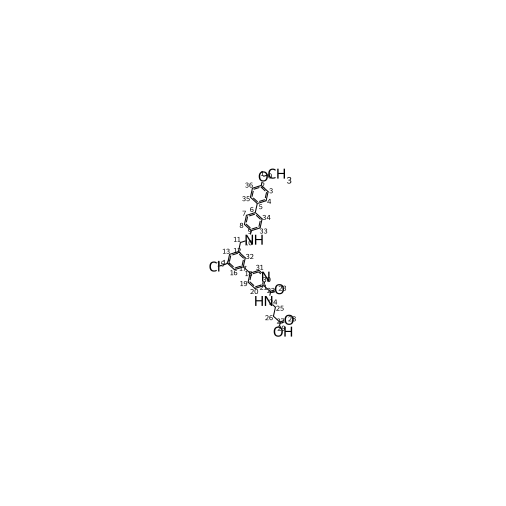 COc1ccc(-c2ccc(NCc3cc(Cl)cc(-c4ccc(C(=O)NCCC(=O)O)nc4)c3)cc2)cc1